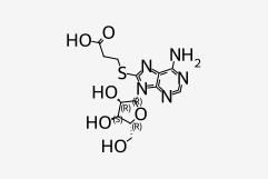 Nc1ncnc2c1nc(SCCC(=O)O)n2[C@@H]1O[C@H](CO)[C@@H](O)[C@H]1O